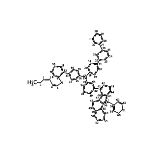 CC/C=C\C=C/Cc1ccccc1-c1ccc(N(c2ccc(-c3cccc(-c4ccccc4)c3)cc2)c2cccc(-c3cccc4c3c3ccc5ccccc5c3n4C3=CCCC=C3)c2)cc1